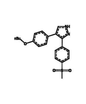 CCCCOc1ccc(-c2c[nH]nc2-c2ccc(S(C)(=O)=O)cc2)cc1